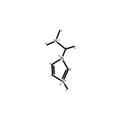 CC(N(C)C)n1cc[n+](C)c1